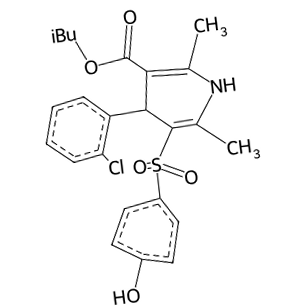 CCC(C)OC(=O)C1=C(C)NC(C)=C(S(=O)(=O)c2ccc(O)cc2)C1c1ccccc1Cl